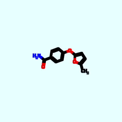 Cc1ccc(Oc2ccc(C(N)=O)cc2)o1